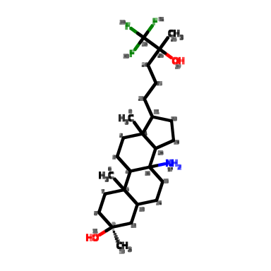 CC12CCC3C4(C)CC[C@](C)(O)CC4CCC3(N)C1CCC2CCCC(C)(O)C(F)(F)F